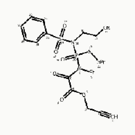 C#CCOC(=O)C(=O)N(CC)P(=O)(SCCC)N(CCC#N)S(=O)(=O)c1ccccc1